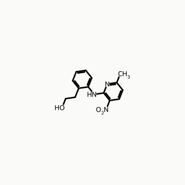 Cc1ccc([N+](=O)[O-])c(Nc2ccccc2CCO)n1